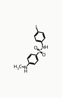 CNc1ccc(S(=O)(=O)Nc2ccc(I)cc2)cc1